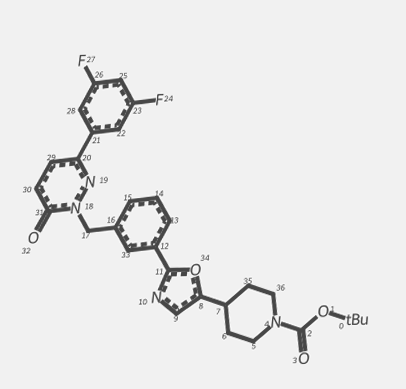 CC(C)(C)OC(=O)N1CCC(c2cnc(-c3cccc(Cn4nc(-c5cc(F)cc(F)c5)ccc4=O)c3)o2)CC1